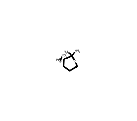 NC1(N)CCCCC1.O=[N+]([O-])[O-].[Pd]